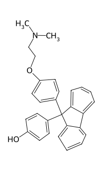 CN(C)CCOc1ccc(C2(c3ccc(O)cc3)c3ccccc3-c3ccccc32)cc1